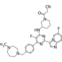 CN1CCCN(Cc2ccc(-c3nc(-c4cnc5ccc(F)cn45)nc(NC4CCCN(C(=O)CC#N)C4)c3F)cc2)CC1